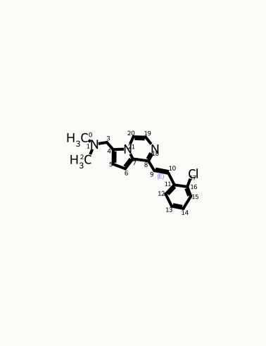 CN(C)Cc1ccc2c(/C=C/c3ccccc3Cl)nccn12